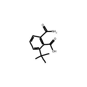 CC(C)(C)c1cccc(C(N)=O)c1C(=O)O